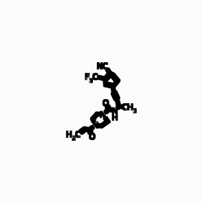 C=CC(=O)N1CCN(C(=O)NC(C)C#Cc2ccc(C#N)c(C(F)(F)F)c2)CC1